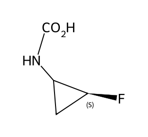 O=C(O)NC1C[C@@H]1F